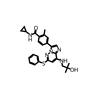 Cc1cc(-c2cnc3c(NCC(C)(C)O)cc(Sc4ccccc4)nn23)ccc1C(=O)NC1CC1